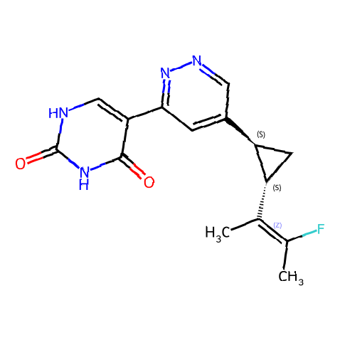 C/C(F)=C(\C)[C@H]1C[C@@H]1c1cnnc(-c2c[nH]c(=O)[nH]c2=O)c1